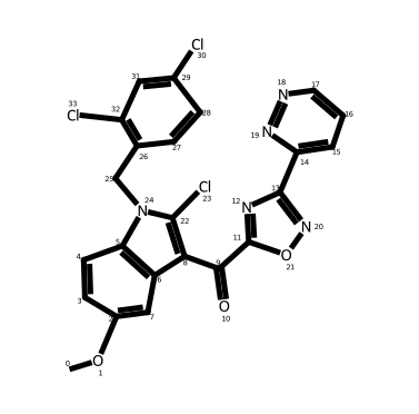 COc1ccc2c(c1)c(C(=O)c1nc(-c3cccnn3)no1)c(Cl)n2Cc1ccc(Cl)cc1Cl